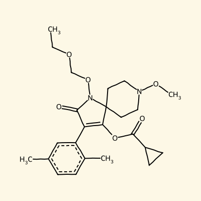 CCOCON1C(=O)C(c2cc(C)ccc2C)=C(OC(=O)C2CC2)C12CCN(OC)CC2